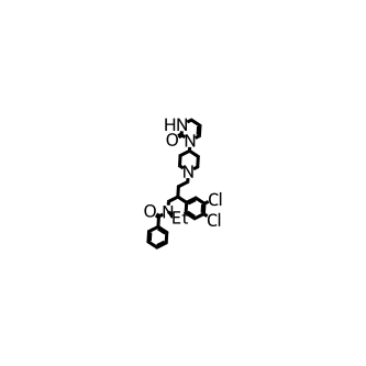 CCN(CC(CCN1CCC(N2C=CCNC2=O)CC1)c1ccc(Cl)c(Cl)c1)C(=O)c1ccccc1